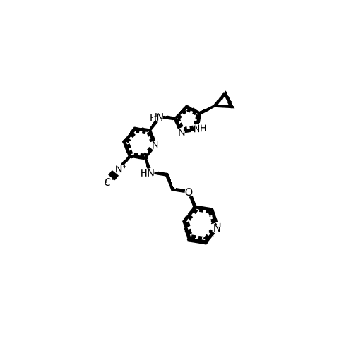 [C-]#[N+]c1ccc(Nc2cc(C3CC3)[nH]n2)nc1NCCOc1cccnc1